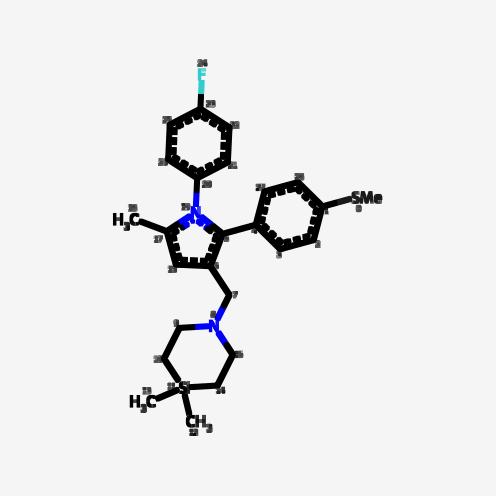 CSc1ccc(-c2c(CN3CC[Si](C)(C)CC3)cc(C)n2-c2ccc(F)cc2)cc1